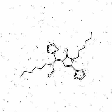 CCCCCCN1C(=O)/C(=C(\c2cccs2)N(C=O)CCCCCC)C=C1c1cccs1